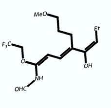 CC\C=C(O)/C(=C/C=C(\NC=O)OCC(F)(F)F)CCCOC